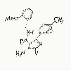 COc1ccccc1CNC(=O)c1c(-c2ccc(C)o2)noc1N